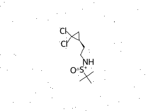 CC(C)(C)[S+]([O-])NCC[C@@H]1CC1(Cl)Cl